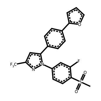 CS(=O)(=O)c1ccc(-n2nc(C(F)(F)F)cc2-c2ccc(-c3ccco3)cc2)cc1F